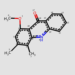 COc1cc(C)c(C)c2[nH]c3ccccc3c(=O)c12